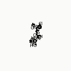 CC1(C)O[C@@H]2[C@@H](CO)C[C@@H](Nc3ncncc3C(=O)c3cc([C@@](C)(N[S+]([O-])C(C)(C)C)c4cccc(Cl)c4)cs3)[C@@H]2O1